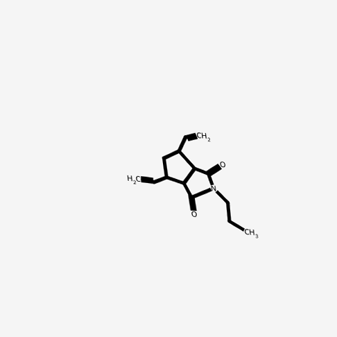 C=CC1CC(C=C)C2C(=O)N(CCC)C(=O)C12